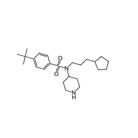 CC(C)(C)c1ccc(S(=O)(=O)N(CCCC2CCCC2)C2CCNCC2)cc1